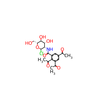 CC(=O)c1cc(C(C)=O)c(C(C)=O)c(C(=O)N[C@H]2[C@@H](O)[C@H](O)[C@@H](CO)O[C@@H]2Cl)c1